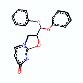 O=c1ccn2c(n1)OC(C(Oc1ccccc1)Oc1ccccc1)C2